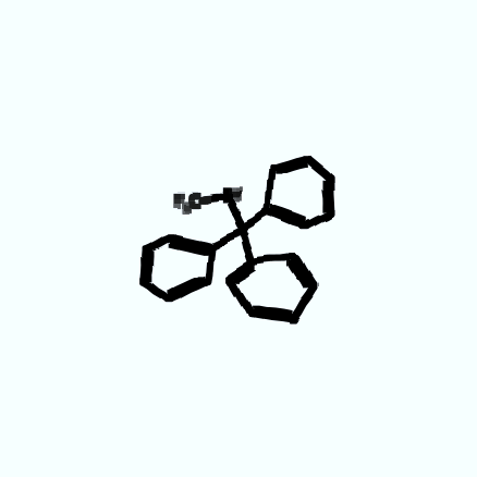 FC(F)(F)BC(c1ccccc1)(c1ccccc1)c1ccccc1